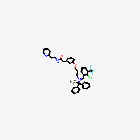 CC(c1ccccc1)(c1ccccc1)N(CCCOc1cccc(CC(=O)NCCc2ccccn2)c1)Cc1cccc(C(F)(F)F)c1Cl